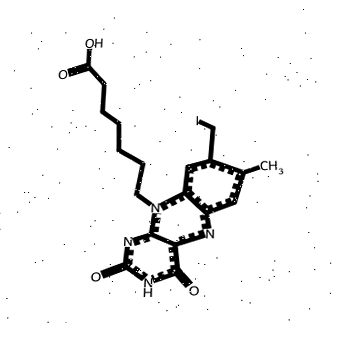 Cc1cc2nc3c(=O)[nH]c(=O)nc-3n(CCCCCCC(=O)O)c2cc1CI